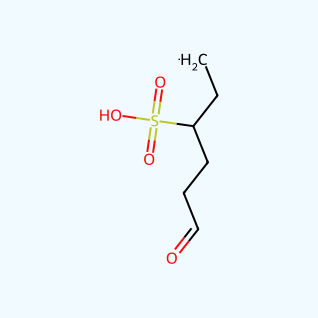 [CH2]CC(CCC=O)S(=O)(=O)O